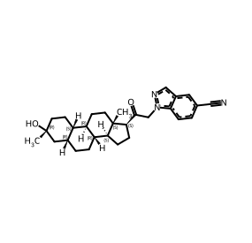 C[C@@]1(O)CC[C@H]2[C@H](CC[C@@H]3[C@@H]2CC[C@]2(C)[C@@H](C(=O)Cn4ncc5cc(C#N)ccc54)CC[C@@H]32)C1